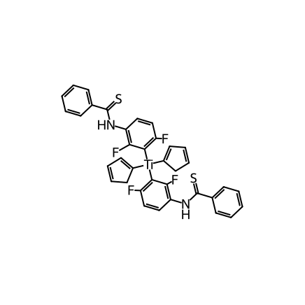 Fc1ccc(NC(=S)c2ccccc2)c(F)[c]1[Ti]([C]1=CC=CC1)([C]1=CC=CC1)[c]1c(F)ccc(NC(=S)c2ccccc2)c1F